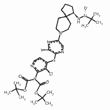 CC(C)(C)OC(=O)N(C(=O)OC(C)(C)C)c1nccc(Sc2ncc(N3CCC4(CCC[C@H]4N[S@+]([O-])C(C)(C)C)CC3)nc2I)c1Cl